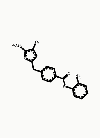 CC(=O)Nc1sc(Cc2ccc(C(=O)Nc3ccccc3N)cc2)cc1C#N